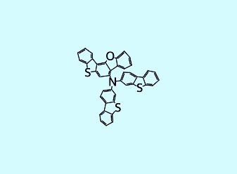 c1ccc2c(c1)oc1c2c(N(c2ccc3c(c2)sc2ccccc23)c2ccc3c(c2)sc2ccccc23)cc2sc3ccccc3c21